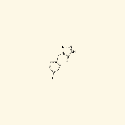 O=c1[nH]nnn1Cc1ccc(I)cc1